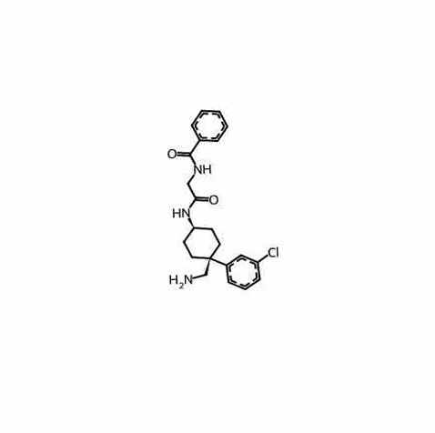 NC[C@]1(c2cccc(Cl)c2)CC[C@H](NC(=O)CNC(=O)c2ccccc2)CC1